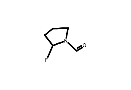 O=CN1CCCC1F